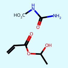 C=CC(=O)OC(C)O.NC(=O)NC(=O)O